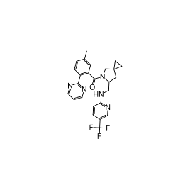 Cc1ccc(-c2ncccn2)c(C(=O)N2CC3(CC3)CC2CNc2ccc(C(F)(F)F)cn2)c1